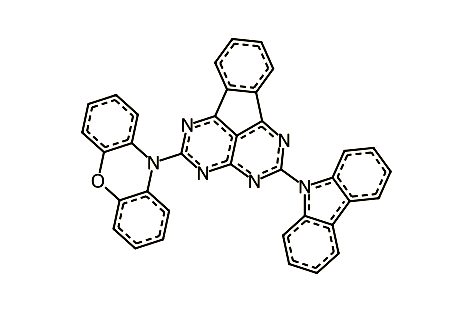 c1ccc2c(c1)Oc1ccccc1N2c1nc2c3c(nc(-n4c5ccccc5c5ccccc54)nc3n1)-c1ccccc1-2